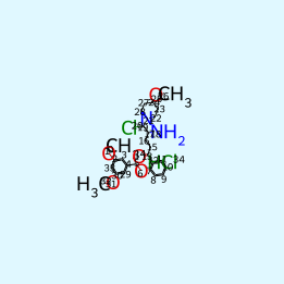 COc1cc(COc2ccccc2C(=O)CCC(N)C(Cl)N2CCC(OC)CC2)cc(OC)c1.Cl